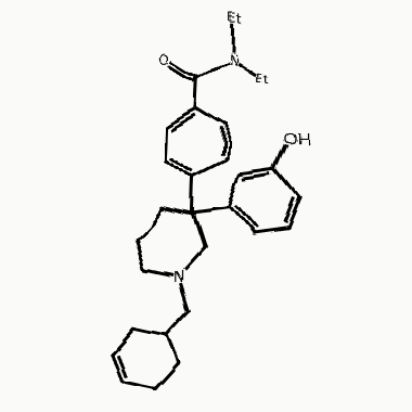 CCN(CC)C(=O)c1ccc(C2(c3cccc(O)c3)CCCN(CC3CC=CCC3)C2)cc1